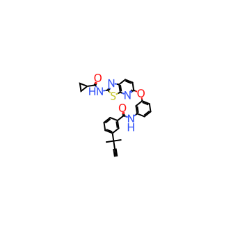 C#CC(C)(C)c1cccc(C(=O)Nc2cccc(Oc3ccc4nc(NC(=O)C5CC5)sc4n3)c2)c1